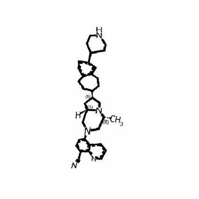 C[C@@H]1CN(c2ccc(C#N)c3ncccc23)C[C@@H]2C[C@@H](C3CCc4ccc(C5CCNCC5)cc4CC3)CN21